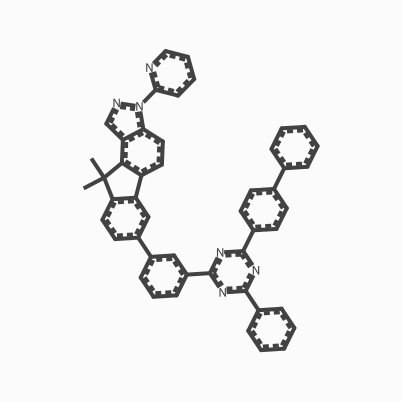 CC1(C)c2ccc(-c3cccc(-c4nc(-c5ccccc5)nc(-c5ccc(-c6ccccc6)cc5)n4)c3)cc2-c2ccc3c(cnn3-c3ccccn3)c21